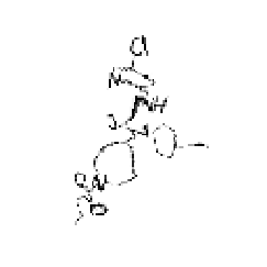 CCCS(=O)(=O)N1CCC(N(C(=O)Nc2ncc(Cl)s2)[C@H]2CC[C@H](C)CC2)CC1